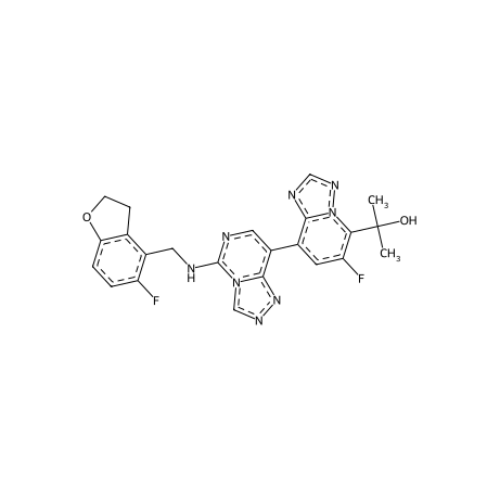 CC(C)(O)c1c(F)cc(-c2cnc(NCc3c(F)ccc4c3CCO4)n3cnnc23)c2ncnn12